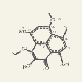 COC1=C(O)C(=O)c2c(O)cc(C)c3c(OC)cc(O)c1c23